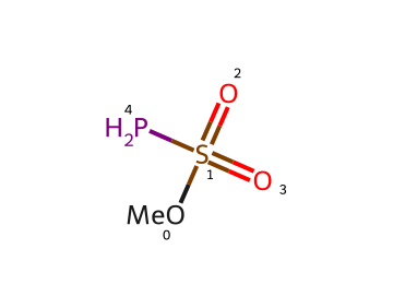 COS(=O)(=O)P